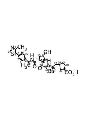 Cc1ncsc1-c1ccc([C@H](C)NC(=O)[C@@H]2C[C@@H](O)CN2C(=O)[C@@H](NC(=O)CC2CCC(C(=O)O)C2)C(C)(C)C)cc1